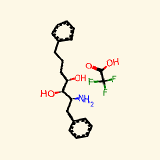 N[C@@H](Cc1ccccc1)[C@@H](O)[C@H](O)CCCc1ccccc1.O=C(O)C(F)(F)F